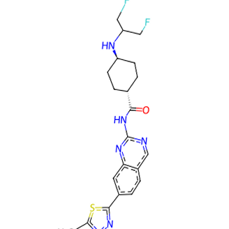 Cc1nnc(-c2ccc3cnc(NC(=O)[C@H]4CC[C@H](NC(CF)CF)CC4)nc3c2)s1